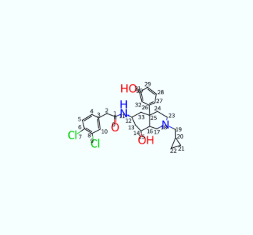 O=C(Cc1ccc(Cl)c(Cl)c1)N[C@@H]1CC(O)C2CN(CC3CC3)CCC2(c2cccc(O)c2)C1